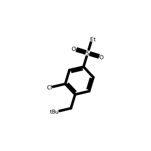 CCS(=O)(=O)c1ccc(CC(C)(C)C)c(Cl)c1